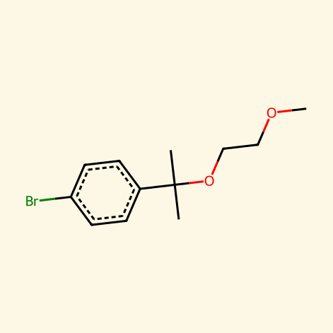 COCCOC(C)(C)c1ccc(Br)cc1